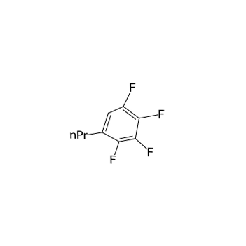 [CH2]CCc1cc(F)c(F)c(F)c1F